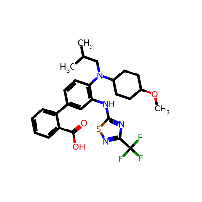 COC1CCC(N(CC(C)C)c2ccc(-c3ccccc3C(=O)O)cc2Nc2nc(C(F)(F)F)ns2)CC1